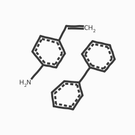 C=Cc1ccc(N)cc1.c1ccc(-c2ccccc2)cc1